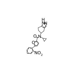 O=C(c1ccc(-c2ccccc2[N+](=O)[O-])o1)N(C1CC1)C1CCc2[nH]ncc2C1